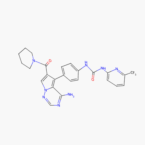 Nc1ncnn2cc(C(=O)N3CCCCC3)c(-c3ccc(NC(=O)Nc4cccc(C(F)(F)F)n4)cc3)c12